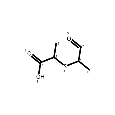 CC([C]=O)SC(C)C(=O)O